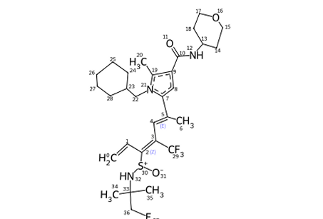 C=C/C(=C(\C=C(/C)c1cc(C(=O)NC2CCOCC2)c(C)n1CC1CCCCC1)C(F)(F)F)[S+]([O-])NC(C)(C)CF